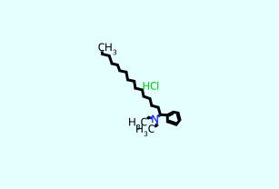 CCCCCCCCCCCCCCCC(c1ccccc1)N(CC)CC.Cl